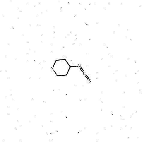 S=C=NC1CCSCC1